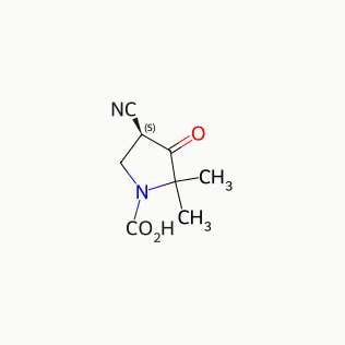 CC1(C)C(=O)[C@H](C#N)CN1C(=O)O